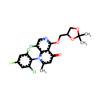 Cc1cc(=O)c2c(OCC3COC(C)(C)O3)ncc(Cl)c2n1-c1c(Cl)cc(F)cc1Cl